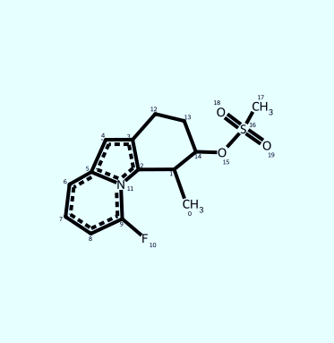 CC1c2c([c]c3cccc(F)n23)CCC1OS(C)(=O)=O